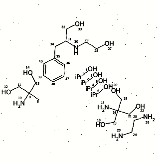 CC(C)O.CC(C)O.CC(C)O.CC(C)O.CC(N)(CO)CO.NC(CO)(CO)CO.NCCN.OCCNC(CO)Cc1ccccc1